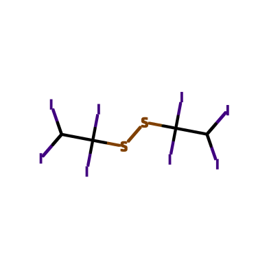 IC(I)C(I)(I)SSC(I)(I)C(I)I